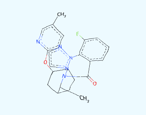 Cc1ccc(OC2CC3CCC2N(C(=O)c2cccc(F)c2-n2nccn2)C3C)nc1